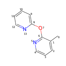 Cc1cccnc1Oc1ccccn1